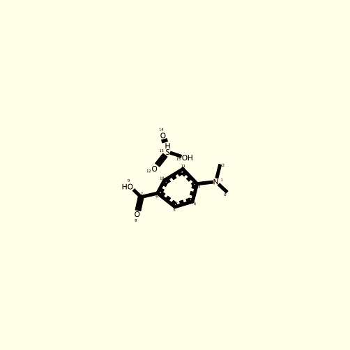 CN(C)c1ccc(C(=O)O)cc1.O=[SH](=O)O